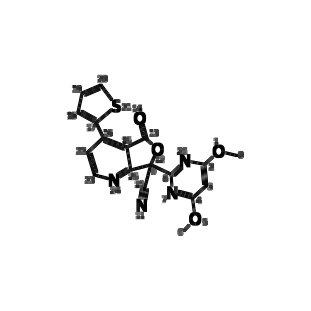 COc1cc(OC)nc(C2(C#N)OC(=O)c3c(-c4cccs4)ccnc32)n1